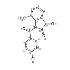 Cc1cccc2c1N(C(=O)c1ccc(Cl)nc1)C(=O)C2=O